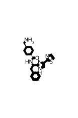 NC[C@H]1CC[C@H](C(=O)NC(Cc2ccccc2)c2nc(-c3nccs3)c[nH]2)CC1